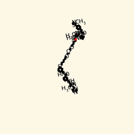 Cc1ncsc1-c1ccc(CNC(=O)[C@@H]2CCCN2C(=O)[C@@H](NC(=O)CCCCOCCOCCOCCCCCCOc2cccc(CNC(=O)c3cccc(NCc4nnc(-c5ccncn5)n4C)c3)c2)C(C)(C)C)cc1